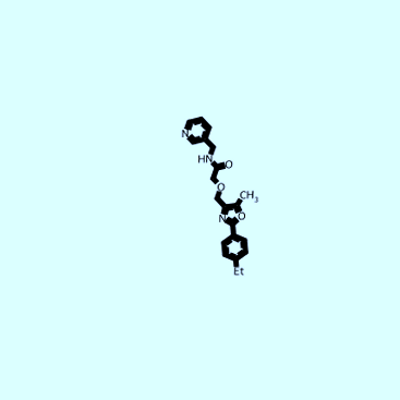 CCc1ccc(-c2nc(COCC(=O)NCc3cccnc3)c(C)o2)cc1